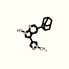 Cn1cc(-c2cn(S)c3ncc(C4C5CC6CC(C5)CC4C6)cc23)cn1